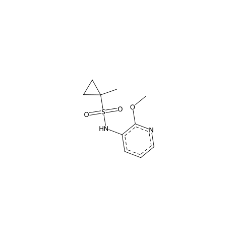 COc1ncccc1NS(=O)(=O)C1(C)CC1